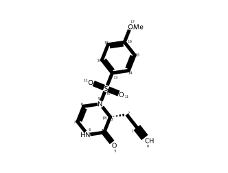 C#CC[C@@H]1C(=O)NC=CN1S(=O)(=O)c1ccc(OC)cc1